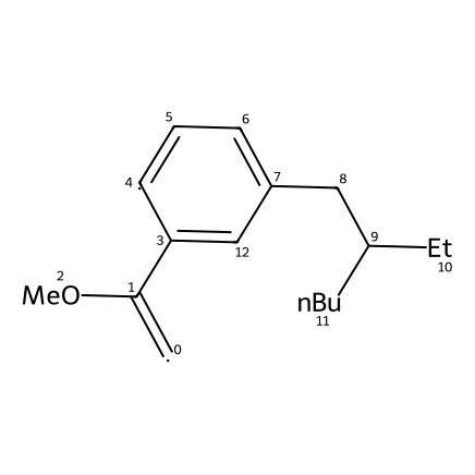 [CH]=C(OC)c1[c]ccc(CC(CC)CCCC)c1